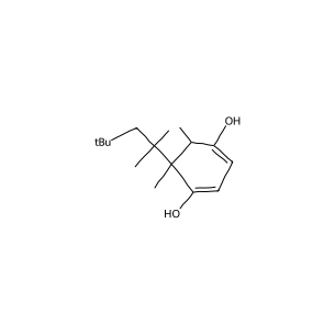 CC1C(O)=CC=C(O)C1(C)C(C)(C)CC(C)(C)C